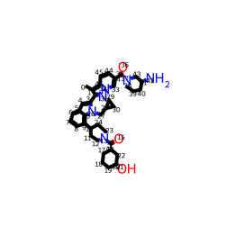 Cc1c(-c2cc3cccc(C4CCN(C(=O)[C@@H]5CCC[C@H](O)C5)CC4)c3n2CC2CC2)nn2cc(C(=O)N3CCCC(N)C3)ccc12